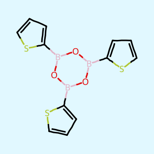 c1csc(B2OB(c3cccs3)OB(c3cccs3)O2)c1